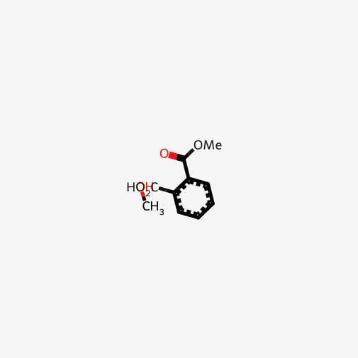 CO.COC(=O)c1ccccc1C(=O)O